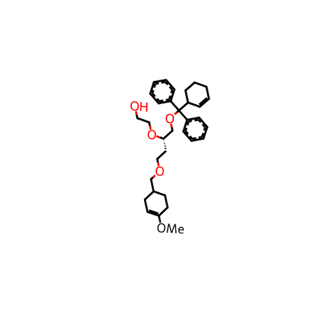 COC1=CCC(COCC[C@@H](COC(c2ccccc2)(c2ccccc2)C2C=CCCC2)OCCO)CC1